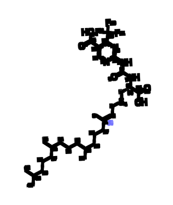 C/C(=C\CSC[C@H](NC(=O)Nc1ncc(C(=O)O)c(C(F)(F)F)n1)C(=O)O)CCCC(C)CCCC(C)CCCC(C)C